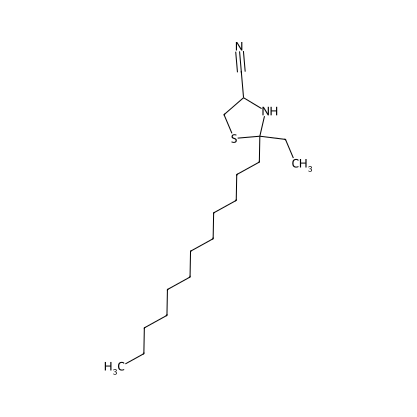 CCCCCCCCCCCCC1(CC)NC(C#N)CS1